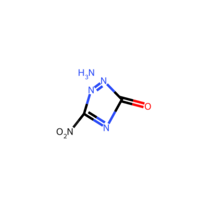 N.O=C1N=NC([N+](=O)[O-])=N1